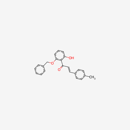 Cc1ccc(C=CC(=O)c2c(O)cccc2OCc2ccccc2)cc1